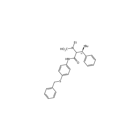 CCN(C(=O)O)C(C(=O)Nc1ccc(SCc2ccccc2)cc1)[C@H](c1ccccc1)C(C)(C)C